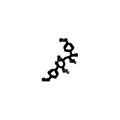 C=C(CN(C)CC(=C)C(=O)c1ccc(OC)cc1)C(=O)c1ccc(OC)cc1